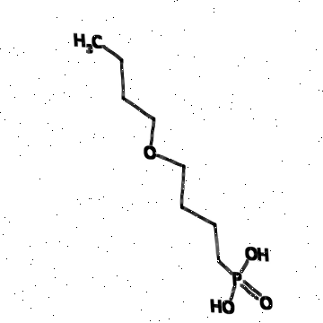 CCCCOCCCCP(=O)(O)O